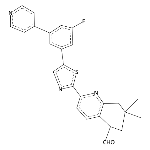 CC1(C)Cc2nc(-c3ncc(-c4cc(F)cc(-c5ccncc5)c4)s3)ccc2C(C=O)C1